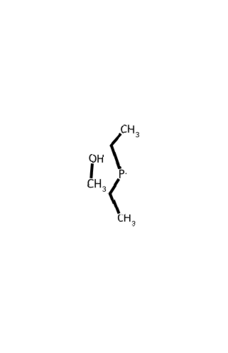 CC[P]CC.CO